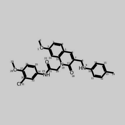 COc1ccc2cc(CNc3ccc(C)cc3)c(=O)n(CC(=O)Nc3ccc(OC)c(Cl)c3)c2c1